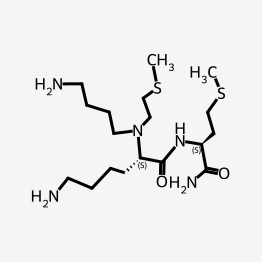 CSCC[C@H](NC(=O)[C@H](CCCCN)N(CCCCN)CCSC)C(N)=O